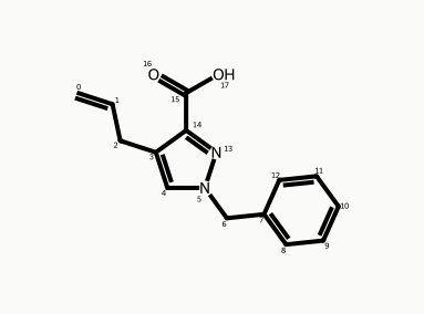 C=CCc1cn(Cc2ccccc2)nc1C(=O)O